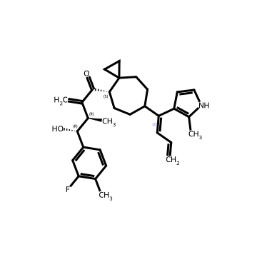 C=C/C=C(\c1cc[nH]c1C)C1CC[C@H](C(=O)C(=C)[C@@H](C)[C@@H](O)c2ccc(C)c(F)c2)C2(CC1)CC2